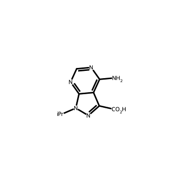 CC(C)n1nc(C(=O)O)c2c(N)ncnc21